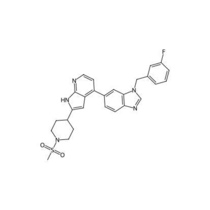 CS(=O)(=O)N1CCC(c2cc3c(-c4ccc5ncn(Cc6cccc(F)c6)c5c4)ccnc3[nH]2)CC1